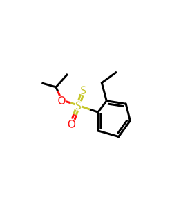 CCc1ccccc1S(=O)(=S)OC(C)C